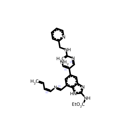 C=C/C=C\N=C\c1cc(C(/C=N\C(=C)NCc2ccccn2)=C/N)cc2nc(NC(=O)OCC)[nH]c12